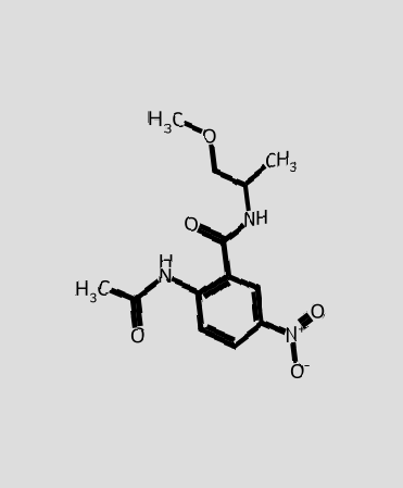 COCC(C)NC(=O)c1cc([N+](=O)[O-])ccc1NC(C)=O